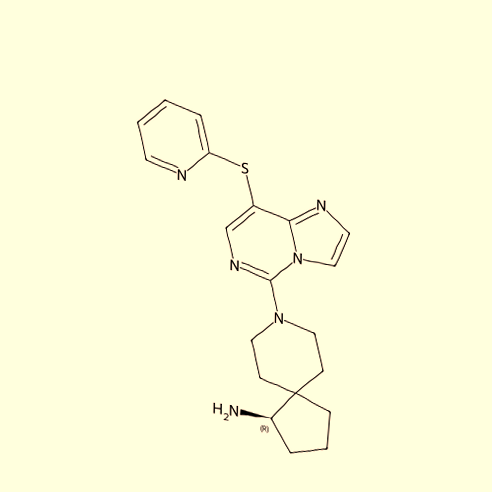 N[C@@H]1CCCC12CCN(c1ncc(Sc3ccccn3)c3nccn13)CC2